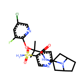 CC(C)(Oc1ncc(Cl)cc1F)C(=O)NC1CC2CCC(C1)N2c1ccc(S(N)(=O)=O)cn1